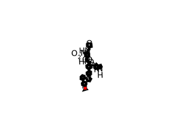 O=C(NS(=O)(=O)c1ccc(NCC2CCOCC2)c([N+](=O)[O-])c1)c1ccc(-c2ccc(N3CCCC3c3ccccc3C3=CCN(C4CC4)CC3)cc2)cc1Oc1cnc2[nH]ccc2c1